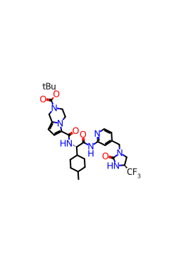 CC1CCC([C@H](NC(=O)c2ccc3n2CCN(C(=O)OC(C)(C)C)C3)C(=O)Nc2cc(CN3C[C@@H](C(F)(F)F)NC3=O)ccn2)CC1